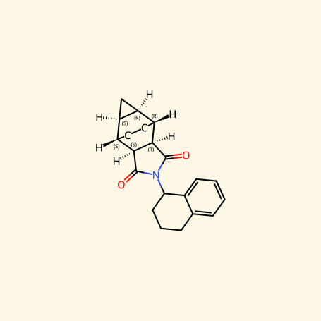 O=C1[C@@H]2[C@@H]3CC[C@@H]([C@H]4C[C@H]43)[C@@H]2C(=O)N1C1CCCc2ccccc21